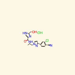 CC(Cn1ccc(-c2ccc(C#N)c(Cl)c2)n1)NC(=O)c1c[nH]c(CO)n1.Cl